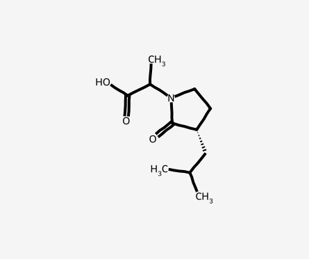 CC(C)C[C@H]1CCN(C(C)C(=O)O)C1=O